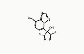 OC(c1ccc(Br)c2ncnn12)(C(F)F)C(F)F